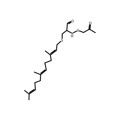 CC(=O)CSNC(C=O)CSC/C=C(\C)CC/C=C(\C)CCC=C(C)C